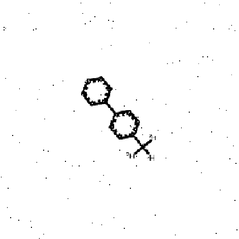 [2H]C([2H])([2H])c1ccc(-c2cc[c]cc2)cc1